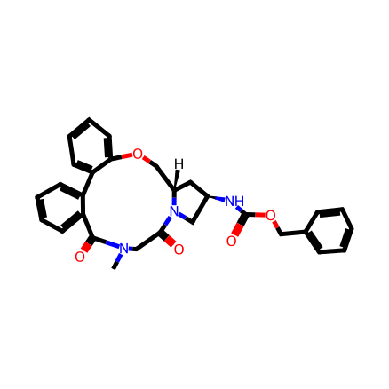 CN1CC(=O)N2C[C@H](NC(=O)OCc3ccccc3)C[C@H]2COc2ccccc2-c2ccccc2C1=O